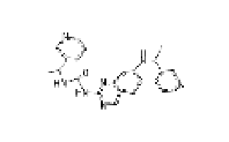 CC(NC(=O)Nc1ncc2ccc(NC(C)c3cccnc3)cc2n1)c1cccnc1